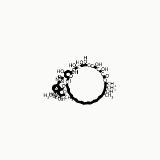 C[C@@H]1[C@H](O)[C@@H](C)/C=C/C=C/C=C/C=C/C=C/C=C/C=C/[C@H](O[C@@H]2O[C@H](C)[C@@H](O)[C@H](N)[C@@H]2O)C[C@@H]2O[C@](O)(C[C@@H](O)C[C@@H](O)[C@H](O)CC[C@@H](O)C[C@@H](O)CC(=O)O[C@H]1C)C[C@H](O)[C@H]2c1nc(-c2ccc(N(C)C)cc2)no1